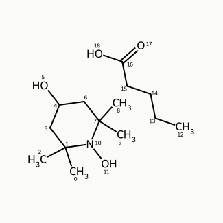 CC1(C)CC(O)CC(C)(C)N1O.CCCCC(=O)O